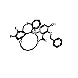 O=C1C2=C(OCc3ccccc3)C(O)C=CN2N2CN1CCCCCOc1cc(F)c(F)c3c1[C@H]2c1ccccc1SC3